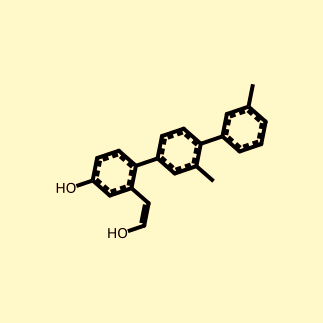 Cc1cccc(-c2ccc(-c3ccc(O)cc3/C=C\O)cc2C)c1